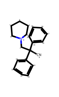 N#CC(CN1CCCCC1)(c1ccccc1)c1ccccc1